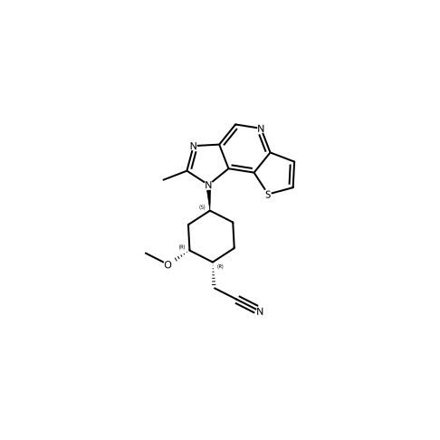 CO[C@@H]1C[C@@H](n2c(C)nc3cnc4ccsc4c32)CC[C@@H]1CC#N